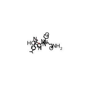 CC(C)c1ccc([C@](O)(c2cncc(-c3nc(C4CCOCC4)n(CCCC(N)=O)n3)c2)C2(C)CN(C)C2)cc1